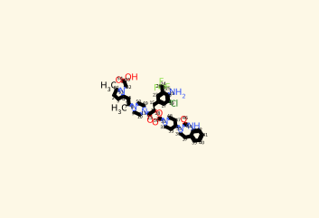 CC1CCC(C[C@H](C)N2CCN(C(=O)[C@@H](Cc3cc(Cl)c(N)c(C(F)(F)F)c3)OC(=O)N3CCC(N4CCc5ccccc5NC4=O)CC3)CC2)N1CC(=O)O